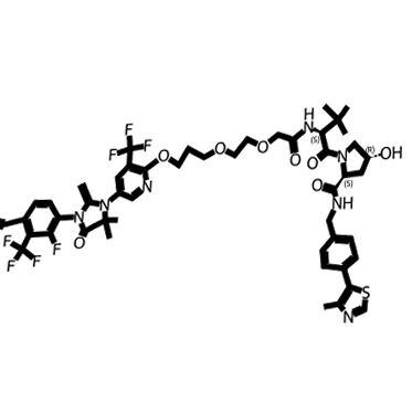 C=C1N(c2ccc(C#N)c(C(F)(F)F)c2F)C(=O)C(C)(C)N1c1cnc(OCCCOCCOCC(=O)N[C@H](C(=O)N2C[C@H](O)C[C@H]2C(=O)NCc2ccc(-c3scnc3C)cc2)C(C)(C)C)c(C(F)(F)F)c1